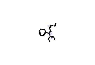 C=C\C=C/C=C(C1=CC=CCC1)/C(=C/C)CC